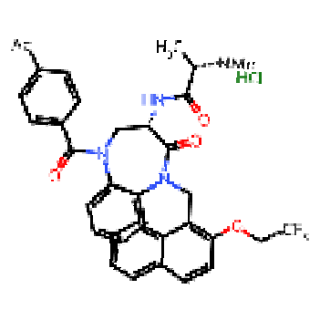 CN[C@@H](C)C(=O)N[C@H]1CN(C(=O)c2ccc(C(C)=O)cc2)c2ccccc2N(Cc2c(OCC(F)(F)F)ccc3ccccc23)C1=O.Cl